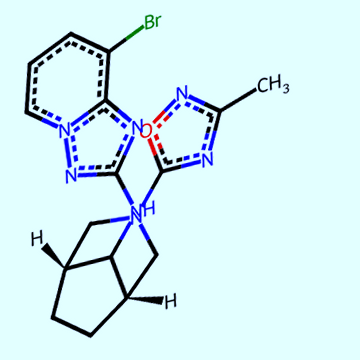 Cc1noc(N2C[C@H]3CC[C@@H](C2)C3Nc2nc3c(Br)cccn3n2)n1